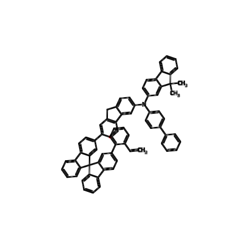 C=Cc1ccccc1-c1ccc2c(c1)C1(c3ccccc3-c3ccc(-c4ccc5c(c4)Cc4ccc(N(c6ccc(-c7ccccc7)cc6)c6ccc7c(c6)C(C)(C)c6ccccc6-7)cc4-5)cc31)c1ccccc1-2